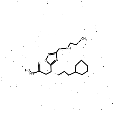 CCCNCc1noc([C@H](CCCC2CCCCC2)CC(=O)NO)n1